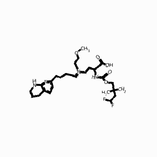 COCCN(CCCCc1ccc2c(n1)NCCC2)CCC(NC(=O)OCC(C)(C)CC(F)F)C(=O)O